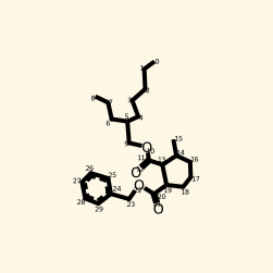 CCCCCC(CCC)COC(=O)C1C(C)CCCC1C(=O)OCc1ccccc1